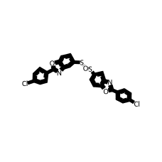 Clc1ccc(-c2nc3cc(SOSc4ccc5oc(-c6ccc(Cl)cc6)nc5c4)ccc3o2)cc1